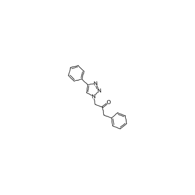 O=C(Cc1ccccc1)Cn1cc(-c2ccccc2)nn1